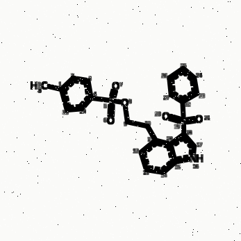 Cc1ccc(S(=O)(=O)OCCc2cccc3[nH]cc(S(=O)(=O)c4ccccc4)c23)cc1